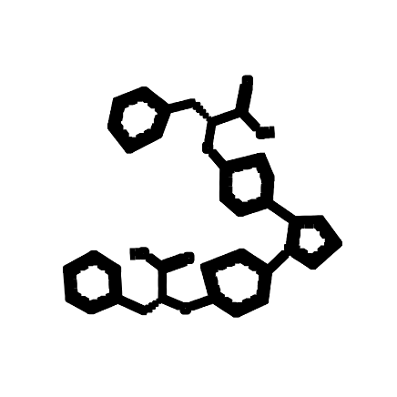 O=C(O)[C@@H](Cc1ccccc1)Oc1ccc(-c2cccn2-c2ccc(O[C@H](Cc3ccccc3)C(=O)O)cc2)cc1